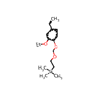 C=Cc1ccc(OCOCC[Si](C)(C)C)c(OCC)c1